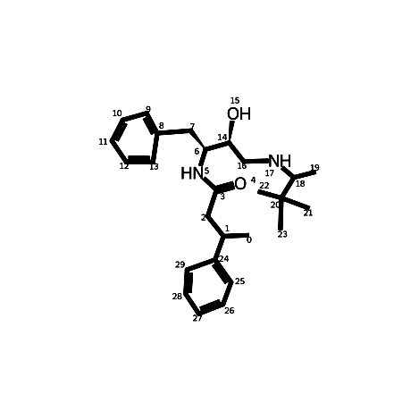 CC(CC(=O)N[C@@H](Cc1ccccc1)[C@@H](O)CNC(C)C(C)(C)C)c1ccccc1